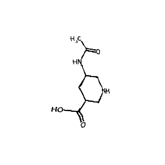 CC(=O)NC1CNCC(C(=O)O)C1